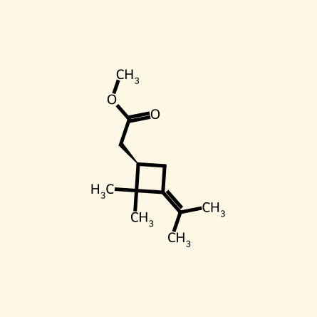 COC(=O)C[C@H]1CC(=C(C)C)C1(C)C